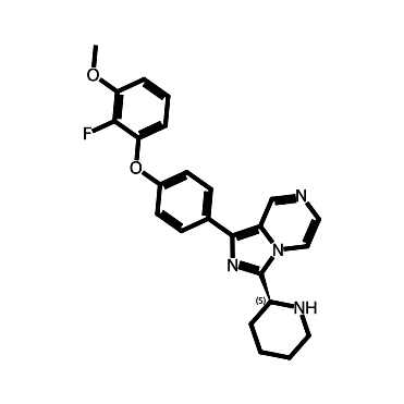 COc1cccc(Oc2ccc(-c3nc([C@@H]4CCCCN4)n4ccncc34)cc2)c1F